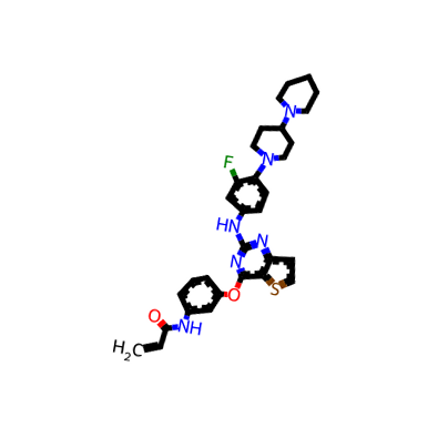 C=CC(=O)Nc1cccc(Oc2nc(Nc3ccc(N4CCC(N5CCCCC5)CC4)c(F)c3)nc3ccsc23)c1